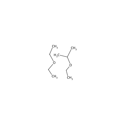 CCOC(C)C.CCOCC